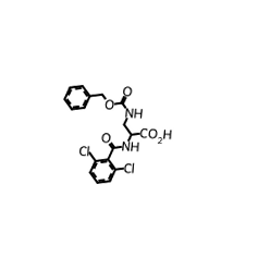 O=C(NCC(NC(=O)c1c(Cl)cccc1Cl)C(=O)O)OCc1ccccc1